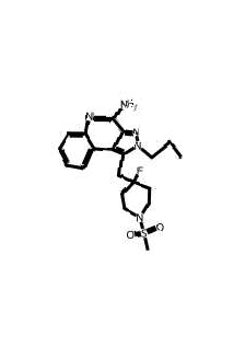 CCCn1nc2c(N)nc3ccccc3c2c1CC1(F)CCN(S(C)(=O)=O)CC1